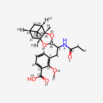 CCC(=O)NC(Cc1cccc(C(=O)O)c1OC)B1O[C@@H]2C[C@@H]3C[C@@H](C3(C)C)[C@]2(C)O1